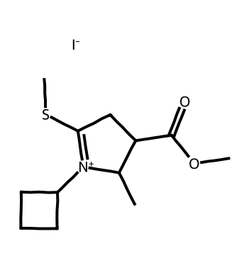 COC(=O)C1CC(SC)=[N+](C2CCC2)C1C.[I-]